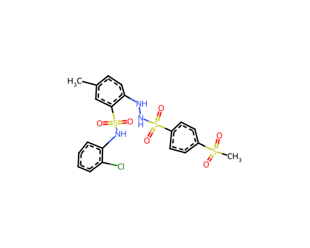 Cc1ccc(NNS(=O)(=O)c2ccc(S(C)(=O)=O)cc2)c(S(=O)(=O)Nc2ccccc2Cl)c1